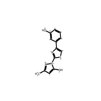 Cc1cc(O)n(-c2nc(-c3cccc(O)c3)cs2)n1